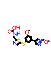 COCn1cc(-c2cc(OC)cc(Sc3cnc(CNC(=O)O)s3)c2)cn1